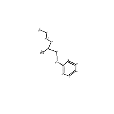 CC(C)CNCC(O)COc1[c]cccc1